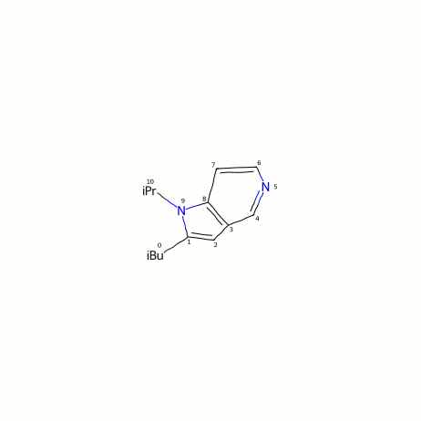 CCC(C)c1cc2cnccc2n1C(C)C